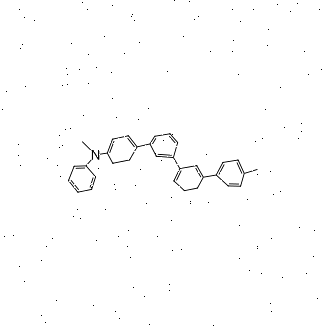 Cc1ccc(C2=CC(c3cccc(C4=CC=C(N(C)c5ccccc5)CC4)c3)=CCC2)cc1